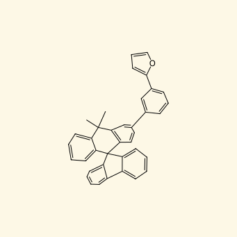 CC1(C)c2ccccc2C2(c3ccccc3-c3ccccc32)c2ccc(-c3cccc(-c4ccco4)c3)cc21